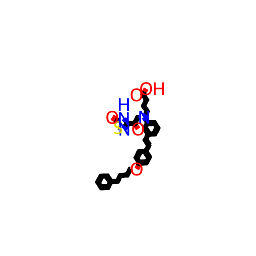 O=C(O)CCCN1CC(c2nsc(=O)[nH]2)Oc2c(C=Cc3ccc(OCCCCc4ccccc4)cc3)cccc21